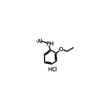 CCOc1ccccc1[PH][Al].Cl